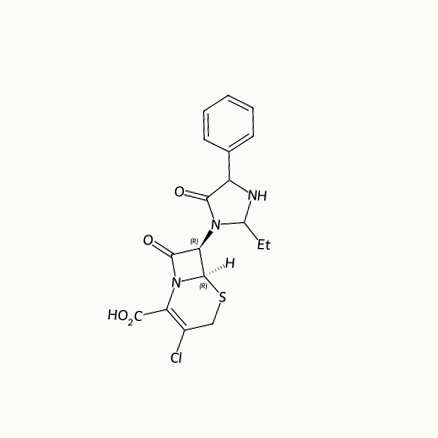 CCC1NC(c2ccccc2)C(=O)N1[C@@H]1C(=O)N2C(C(=O)O)=C(Cl)CS[C@H]12